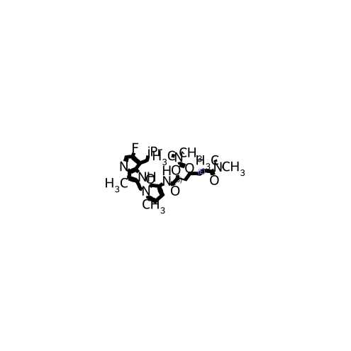 Cc1c(Cn2c(C)ccc(NC(=O)[C@H](CC/C=C/C(=O)N(C)C)OC(=O)N(C)C)c2=O)[nH]c2c(CC(C)C)c(F)cnc12